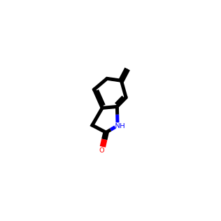 C=C1C=C2NC(=O)CC2=CC1